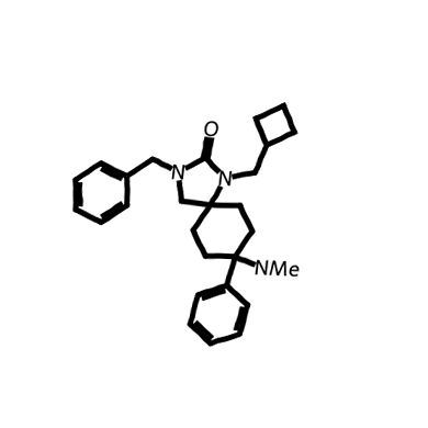 CNC1(c2ccccc2)CCC2(CC1)CN(Cc1ccccc1)C(=O)N2CC1CCC1